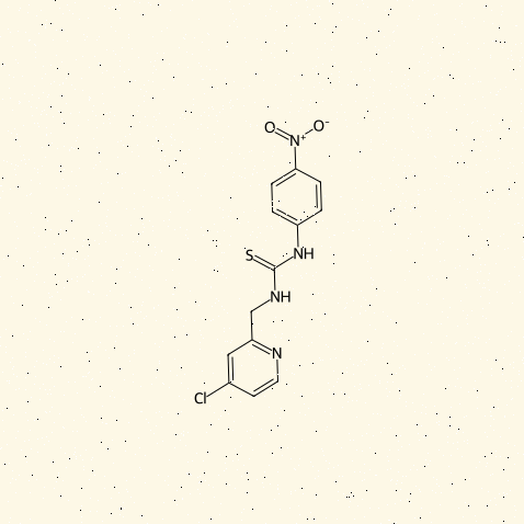 O=[N+]([O-])c1ccc(NC(=S)NCc2cc(Cl)ccn2)cc1